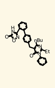 CCCCc1nc(CC)n(-c2ccccc2)c(=O)c1Cc1ccc(-c2ccccc2-c2noc(=O)[nH]2)cc1